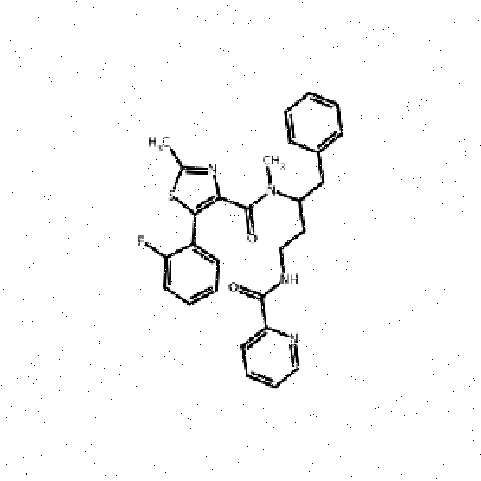 Cc1nc(C(=O)N(C)C(CCNC(=O)c2ccccn2)Cc2ccccc2)c(-c2ccccc2F)s1